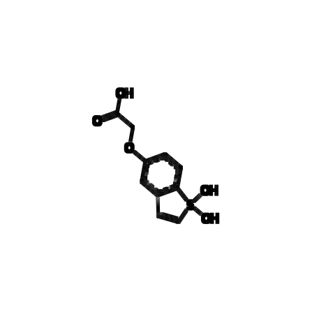 O=C(O)COc1ccc2c(c1)C=CS2(O)O